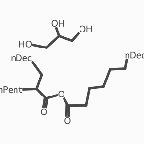 CCCCCCCCCCCCCCCC(=O)OC(=O)C(CCCCC)CCCCCCCCCCC.OCC(O)CO